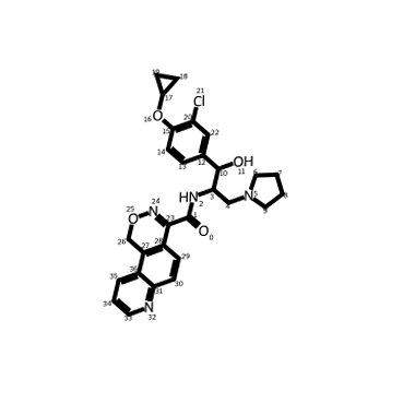 O=C(NC(CN1CCCC1)C(O)c1ccc(OC2CC2)c(Cl)c1)C1=NOCc2c1ccc1ncccc21